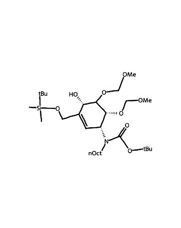 CCCCCCCCN(C(=O)OC(C)(C)C)[C@@H]1C=C(CO[Si](C)(C)C(C)(C)C)[C@H](O)C(OCOC)[C@@H]1OCOC